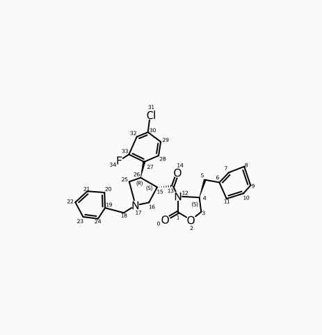 O=C1OC[C@H](Cc2ccccc2)N1C(=O)[C@@H]1CN(Cc2ccccc2)C[C@H]1c1ccc(Cl)cc1F